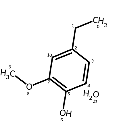 CCc1ccc(O)c(OC)c1.O